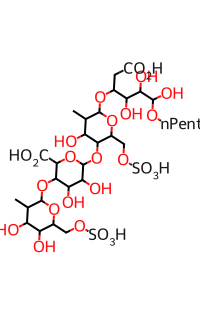 CCCCCOC(O)C(O)C(O)C(CC(=O)O)OC1OC(COS(=O)(=O)O)C(OC2OC(C(=O)O)C(OC3OC(COS(=O)(=O)O)C(O)C(O)C3C)C(O)C2O)C(O)C1C